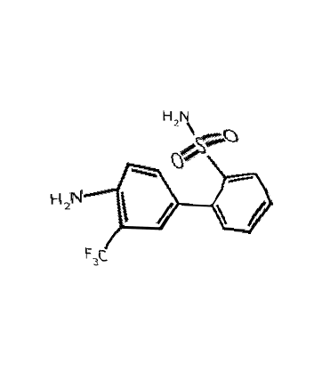 Nc1ccc(-c2ccccc2S(N)(=O)=O)cc1C(F)(F)F